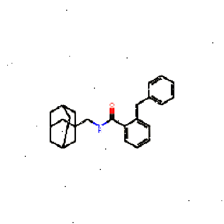 O=C(NCC12CC3CC(CC(C3)C1)C2)c1ccccc1Cc1ccccc1